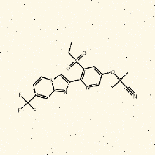 CCS(=O)(=O)c1cc(OC(C)(C)C#N)cnc1-c1cn2ccc(C(F)(F)F)cc2n1